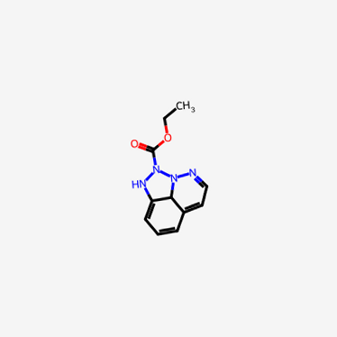 CCOC(=O)N1NC2=CC=CC3=CC=NN1C32